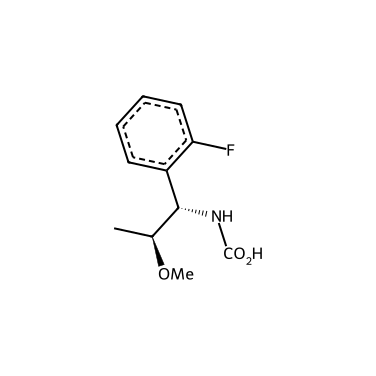 CO[C@@H](C)[C@@H](NC(=O)O)c1ccccc1F